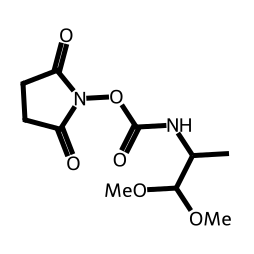 COC(OC)C(C)NC(=O)ON1C(=O)CCC1=O